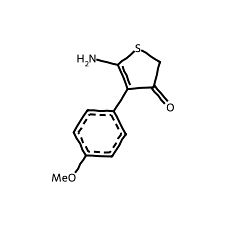 COc1ccc(C2=C(N)SCC2=O)cc1